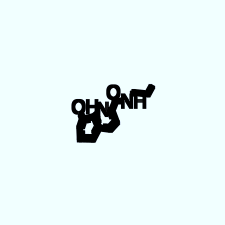 CCCNC(=O)c1ccc2cccc(O)c2n1